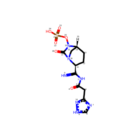 N=C(NC(=O)Cc1nc[nH]n1)[C@@H]1CC[C@@H]2CN1C(=O)N2OS(=O)(=O)O